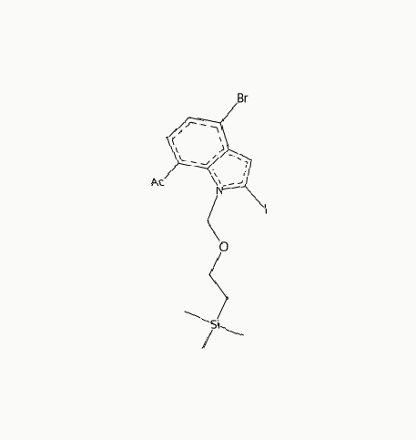 CC(=O)c1ccc(Br)c2cc(I)n(COCC[Si](C)(C)C)c12